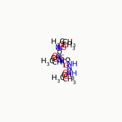 CC(C)(C)OC(=O)NC1CCN(C(=O)Nc2cccc(-c3nnc(N(C(=O)OC(C)(C)C)c4ccc5c(cnn5C(=O)OC(C)(C)C)c4)s3)c2)C1